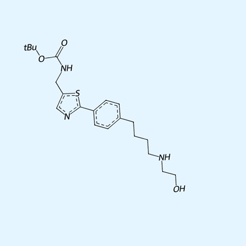 CC(C)(C)OC(=O)NCc1cnc(-c2ccc(CCCCNCCO)cc2)s1